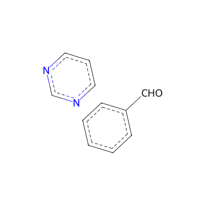 O=Cc1ccccc1.c1cncnc1